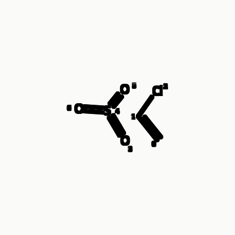 C=CCl.O=S(=O)=O